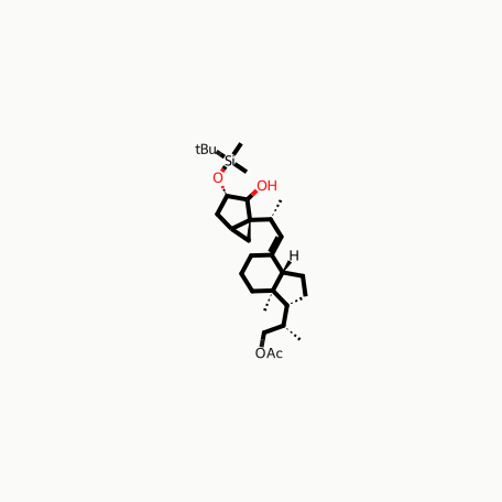 CC(=O)OC[C@@H](C)[C@H]1CC[C@H]2/C(=C/[C@@H](C)[C@]34CC3C[C@H](O[Si](C)(C)C(C)(C)C)C4O)CCC[C@]12C